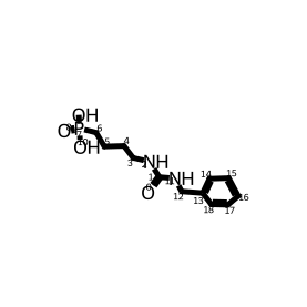 O=C(NCCCCP(=O)(O)O)NCc1ccccc1